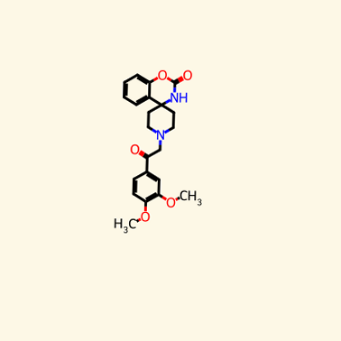 COc1ccc(C(=O)CN2CCC3(CC2)NC(=O)Oc2ccccc23)cc1OC